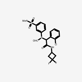 CNS(=O)(=O)c1cccc(N(C=O)C(C(=O)NC2CC(F)(F)C2)c2ccccc2Cl)c1